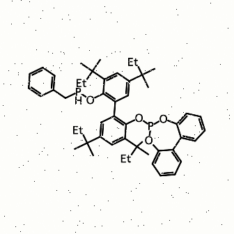 CCC(C)(C)c1cc(-c2cc(C(C)(C)CC)cc(C(C)(C)CC)c2Op2oc3ccccc3c3ccccc3o2)c(OPCc2ccccc2)c(C(C)(C)CC)c1